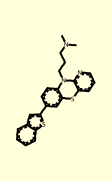 CN(C)CCCN1c2ccc(-c3cc4ccccc4s3)cc2Sc2cccnc21